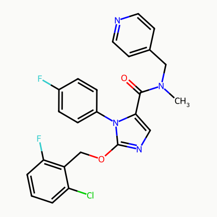 CN(Cc1ccncc1)C(=O)c1cnc(OCc2c(F)cccc2Cl)n1-c1ccc(F)cc1